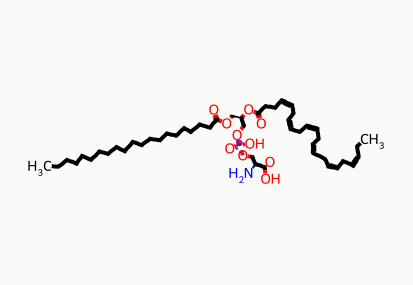 CC/C=C\C/C=C\C/C=C\C/C=C\C/C=C\C/C=C\CCC(=O)O[C@H](COC(=O)CCCCCCCCCCCCCCCCCCCC)COP(=O)(O)OC[C@H](N)C(=O)O